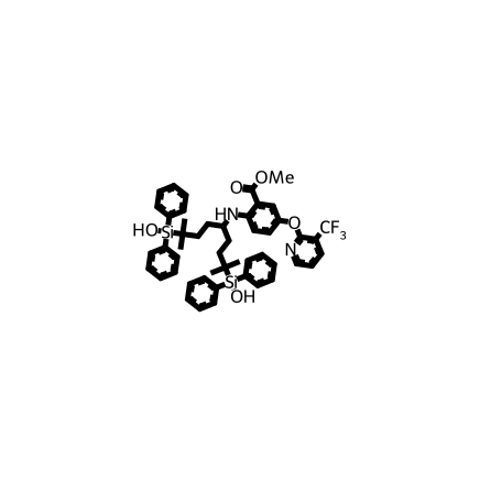 COC(=O)c1cc(Oc2ncccc2C(F)(F)F)ccc1NC(CCC(C)(C)[Si](O)(c1ccccc1)c1ccccc1)CCC(C)(C)[Si](O)(c1ccccc1)c1ccccc1